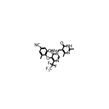 COc1cc(C#N)cc(C)c1Oc1c(C(F)(F)C(F)(F)F)ncn(Cc2c(C)nc(C)[nH]c2=O)c1=O